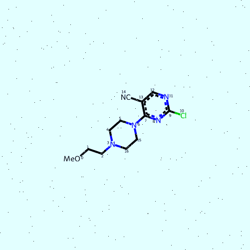 COCCN1CCN(c2nc(Cl)ncc2C#N)CC1